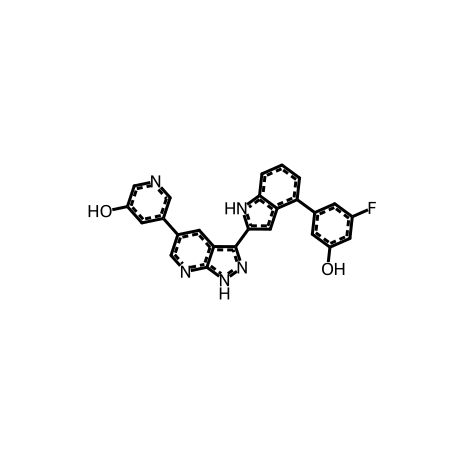 Oc1cncc(-c2cnc3[nH]nc(-c4cc5c(-c6cc(O)cc(F)c6)cccc5[nH]4)c3c2)c1